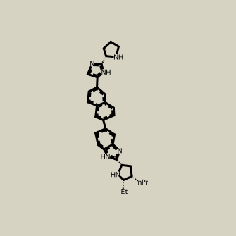 CCC[C@H]1C[C@@H](c2nc3cc(-c4ccc5cc(-c6cnc([C@@H]7CCCN7)[nH]6)ccc5c4)ccc3[nH]2)N[C@H]1CC